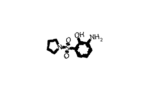 Nc1cccc(S(=O)(=O)N2CCCC2)c1O